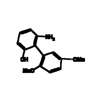 COc1ccc(OC)c(-c2c(N)cccc2O)c1